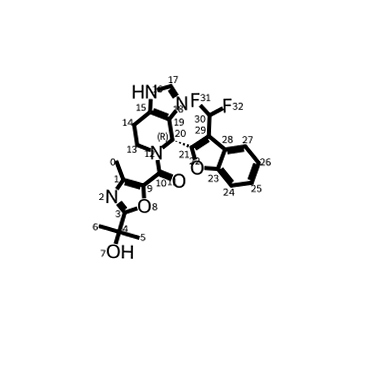 Cc1nc(C(C)(C)O)oc1C(=O)N1CCc2[nH]cnc2[C@@H]1c1oc2ccccc2c1C(F)F